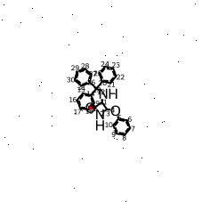 O=C1NC(Oc2ccccc2)C1NC(c1ccccc1)(c1ccccc1)c1ccccc1